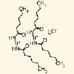 CCCCCC(=O)[NH][Ti+][NH]C(=O)CCCCC.CCCCCC(=O)[NH][Ti+][NH]C(=O)CCCCC.[Cl-].[Cl-]